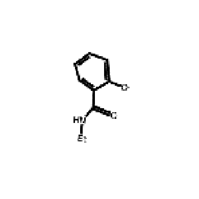 CCNC(=O)c1ccccc1[O]